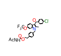 CC(=O)NC(=O)OCCc1ccc(Cn2c(C)c(C(=O)c3ccc(Cl)cc3)c3ccc(OC(F)(F)F)cc32)cc1